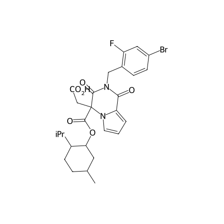 CC1CCC(C(C)C)C(OC(=O)C2(CC(=O)O)C(=O)N(Cc3ccc(Br)cc3F)C(=O)c3cccn32)C1